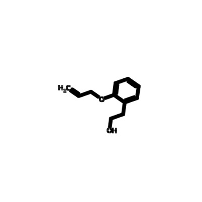 C=CCOc1ccccc1CCO